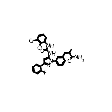 CC(Cc1cccc(-n2nc(-c3ccccc3F)cc2NC(=O)Nc2cccc(Cl)c2Cl)c1)C(N)=O